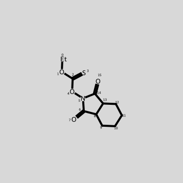 CCOC(=S)ON1C(=O)C2CCCCC2C1=O